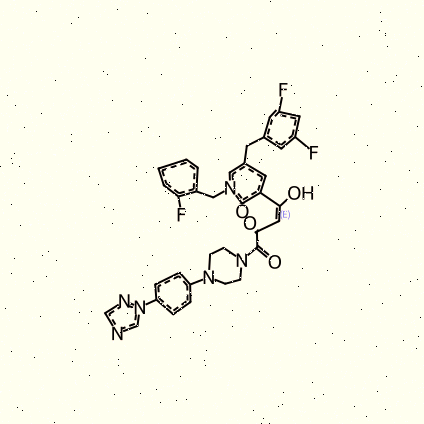 O=C(/C=C(/O)c1cc(Cc2cc(F)cc(F)c2)cn(Cc2ccccc2F)c1=O)C(=O)N1CCN(c2ccc(-n3cncn3)cc2)CC1